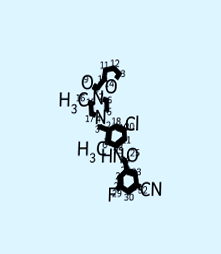 Cc1c(CN2CCN(C(=O)C3CCCO3)C(C)C2)cc(Cl)cc1NC(=O)c1cc(F)cc(C#N)c1